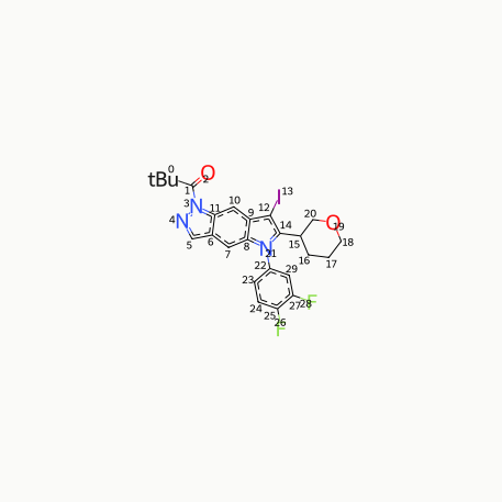 CC(C)(C)C(=O)n1ncc2cc3c(cc21)c(I)c(C1CCCOC1)n3-c1ccc(F)c(F)c1